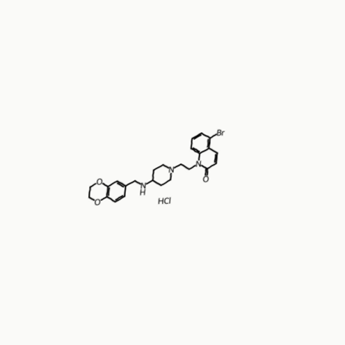 Cl.O=c1ccc2c(Br)cccc2n1CCN1CCC(NCc2ccc3c(c2)OCCO3)CC1